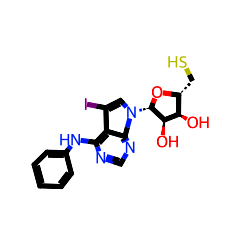 O[C@@H]1[C@H](O)[C@@H](CS)O[C@H]1n1cc(I)c2c(Nc3ccccc3)ncnc21